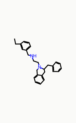 CCc1cccc(CNCCN2Cc3ccccc3CC2Cc2ccccc2)c1